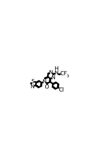 O=c1c(-c2ccc(Cl)cc2)c2nc(NCC(F)(F)F)ncc2cn1-c1ccc2ncsc2c1